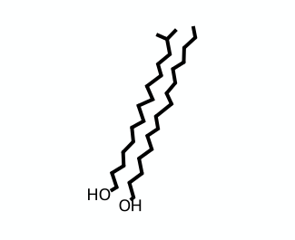 CC(C)CCCCCCCCCCCCCO.CCCCCCCCCCCCCCCCO